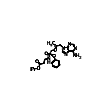 CC(C)OC(=O)CCN[P@@](=O)(CO[C@H](C)Cn1cnc2c(N)ncnc21)Oc1ccccc1